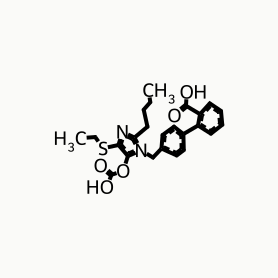 CCCCc1nc(SCC)c(OC(=O)O)n1Cc1ccc(-c2ccccc2C(=O)O)cc1